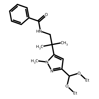 CCOC(OCC)c1cc(C(C)(C)CNC(=O)c2ccccc2)n(C)n1